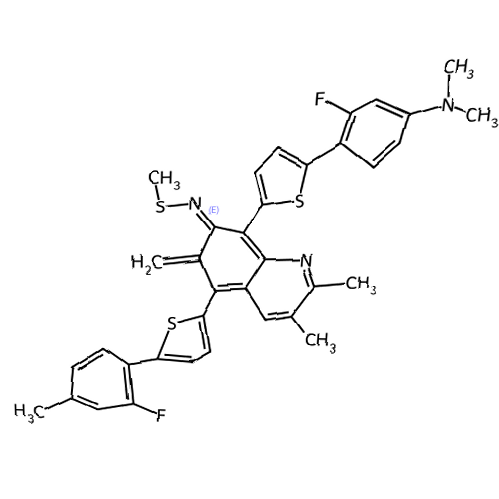 C=C1C(c2ccc(-c3ccc(C)cc3F)s2)=c2cc(C)c(C)nc2=C(c2ccc(-c3ccc(N(C)C)cc3F)s2)/C1=N/SC